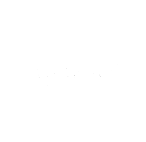 O=C1CCC(c2c(F)cc(N3CC(OC(=O)NC4CC5(CCC5)C4)C3)cc2F)C(=O)N1